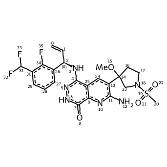 C=C[C@@H](Nc1n[nH]c(=O)c2nc(N)c(C3(OC)CCN(S(C)(=O)=O)C3)cc12)c1cccc(C(F)F)c1F